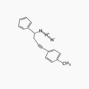 Cc1ccc(C#CCC(N=[N+]=[N-])c2ccccc2)cc1